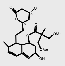 COCC(C)(COC)C(=O)OC1CC(O)C=C2C=CC(C)C(CC[C@@H]3C[C@@H](O)CC(=O)O3)C21